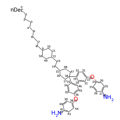 CCCCCCCCCCCCCCCCCCC1CCC(CCC2CCC(c3ccc(Oc4ccc(N)cc4)cc3)(c3ccc(Oc4ccc(N)cc4)cc3)CC2)CC1